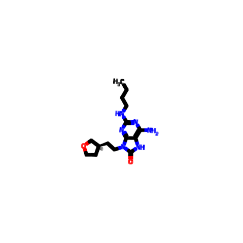 CCCCNc1nc(N)c2[nH]c(=O)n(CC[C@H]3CCOC3)c2n1